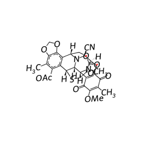 COC1=C(C)C(=O)C2=C(C1=O)[C@@H]1[C@@H]3[C@@H]4SCC(=O)C(=O)OC[C@@H](c5c6c(c(C)c(OC(C)=O)c54)OCO6)N3[C@@H](C#N)[C@@H](C2)N1C